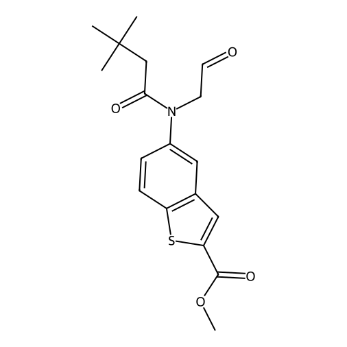 COC(=O)c1cc2cc(N(CC=O)C(=O)CC(C)(C)C)ccc2s1